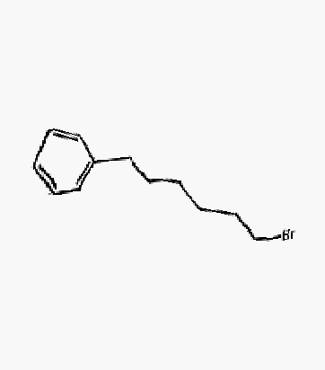 BrCCCCCCc1c[c]ccc1